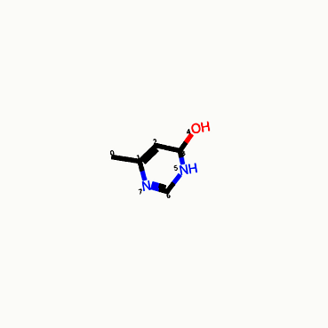 CC1=CC(O)NC=N1